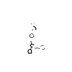 Cc1c(C(=O)N[C@H]2CC[C@@H](Nc3nccc(N(C)C)n3)CC2)cc(-c2ccccc2)n1CCCN1CCOCC1